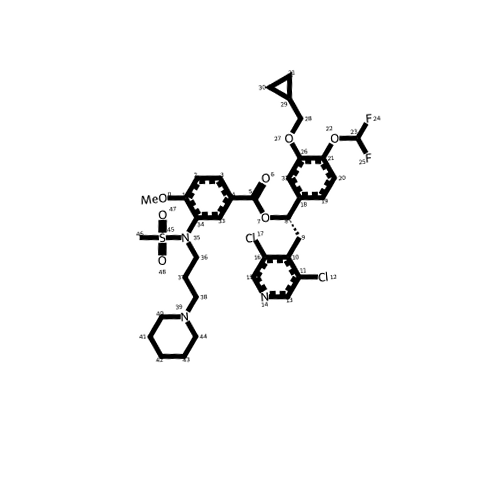 COc1ccc(C(=O)O[C@@H](Cc2c(Cl)cncc2Cl)c2ccc(OC(F)F)c(OCC3CC3)c2)cc1N(CCCN1CCCCC1)S(C)(=O)=O